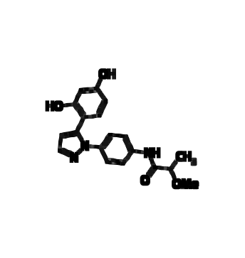 COC(C)C(=O)Nc1ccc(-n2nccc2-c2ccc(O)cc2O)cc1